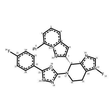 CC(C)c1cccc2cc([C@@H]3c4ncn(F)c4CCN3c3nnc(-c4ccc(F)cc4)o3)nn12